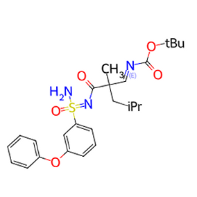 CC(C)CC(C)(/C=N/C(=O)OC(C)(C)C)C(=O)N=S(N)(=O)c1cccc(Oc2ccccc2)c1